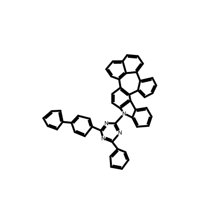 c1ccc(-c2ccc(-c3nc(-c4ccccc4)nc(-n4c5ccccc5c5c6c(ccc54)-c4cccc5cccc(c45)-c4ccccc4-6)n3)cc2)cc1